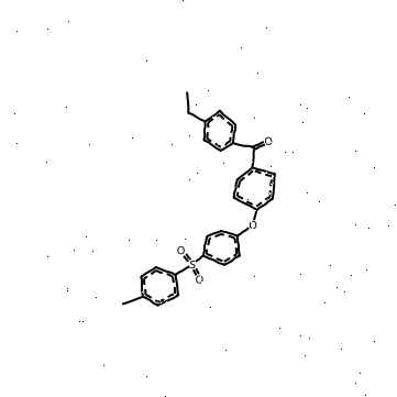 CCc1ccc(C(=O)c2ccc(Oc3ccc(S(=O)(=O)c4ccc(C)cc4)cc3)cc2)cc1